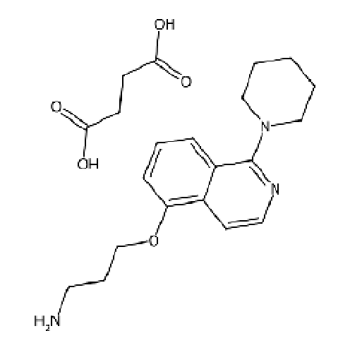 NCCCOc1cccc2c(N3CCCCC3)nccc12.O=C(O)CCC(=O)O